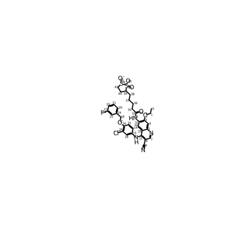 CCOc1cc2ncc(C#N)c(Nc3ccc(OCc4cccc(F)c4)c(Cl)c3)c2cc1NC(=O)CCCCC1CC[S+]([O-])S1(=O)=O